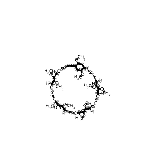 COC1C[C@H]2CSSC[C@@H]3CC(OC)[C@H](CSSC[C@@H]4CC(OC)[C@H](CSS[C@@H]5CC(OC)[C@H](CSSC[C@H]6CC(OC)[C@@H](CSSC[C@@H]1CC2OC)CC6OC)CC5OC)CC4OC)C[C@@H]3OC